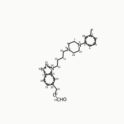 Cc1cccc(N2CCN(CCCCn3nnc4ccc(COC=O)cc43)CC2)c1